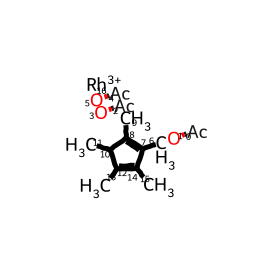 CC(=O)[O-].CC(=O)[O-].CC(=O)[O-].CC1=C(C)C(C)C(C)=C1C.[Rh+3]